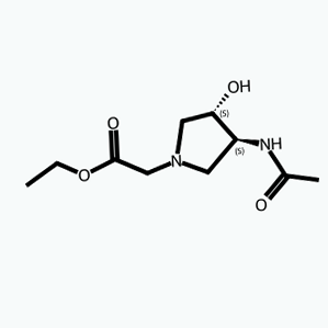 CCOC(=O)CN1C[C@H](NC(C)=O)[C@@H](O)C1